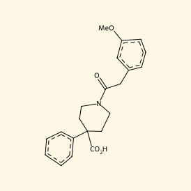 COc1cccc(CC(=O)N2CCC(C(=O)O)(c3ccccc3)CC2)c1